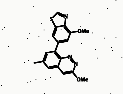 COc1cc2cc(C)cc(-c3cc(OC)c4ncsc4c3)c2nn1